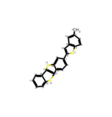 Cc1ccc2sc(-c3ccc4c(c3)sc3c5ccccc5sc43)cc2c1